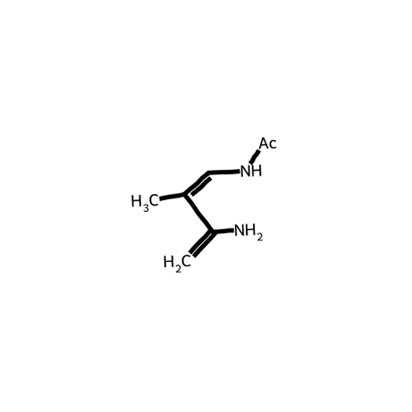 C=C(N)/C(C)=C\NC(C)=O